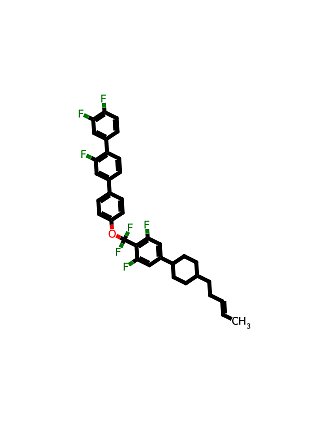 C/C=C/CCC1CCC(c2cc(F)c(C(F)(F)Oc3ccc(-c4ccc(-c5ccc(F)c(F)c5)c(F)c4)cc3)c(F)c2)CC1